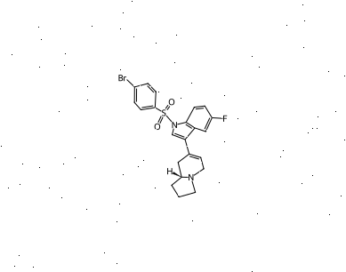 O=S(=O)(c1ccc(Br)cc1)n1cc(C2=CCN3CCC[C@@H]3C2)c2cc(F)ccc21